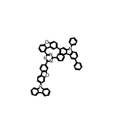 c1ccc(-c2ccc3c(c2)c2ccc(-c4ccc5oc6cccc(-c7nc(-c8ccccc8)nc(-c8ccc9c(c8)oc8cc(-n%10c%11ccccc%11c%11ccccc%11%10)ccc89)n7)c6c5c4)cc2n3-c2ccccc2)cc1